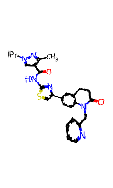 Cc1nn(C(C)C)cc1C(=O)Nc1nc(-c2ccc3c(c2)CCC(=O)N3Cc2ccccn2)cs1